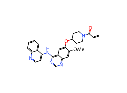 C=CC(=O)N1CCC(Oc2cc3c(Nc4ccnc5ccccc45)ncnc3cc2OC)CC1